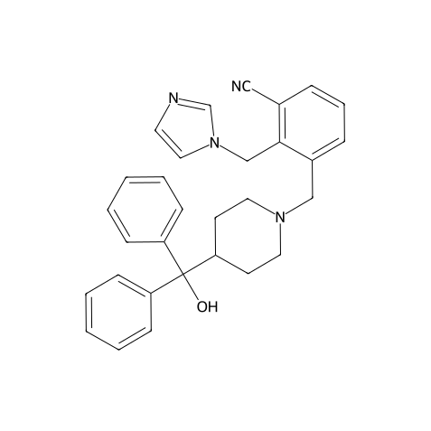 N#Cc1cccc(CN2CCC(C(O)(c3ccccc3)c3ccccc3)CC2)c1Cn1ccnc1